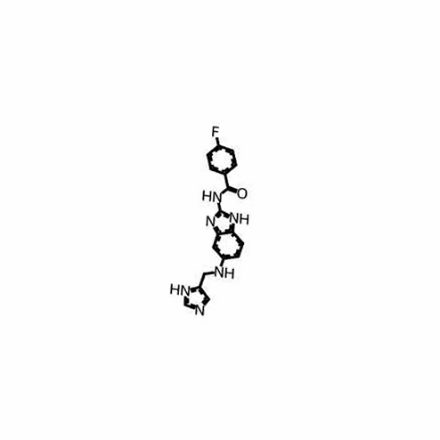 O=C(Nc1nc2cc(NCc3cnc[nH]3)ccc2[nH]1)c1ccc(F)cc1